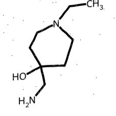 CCN1CCC(O)(CN)CC1